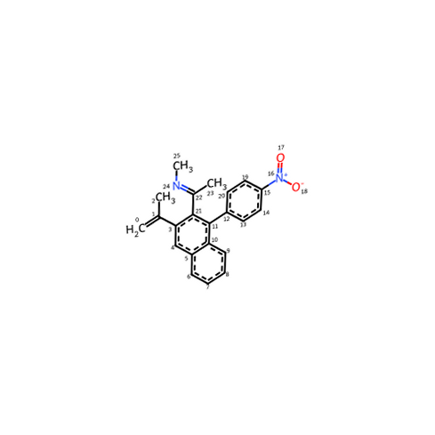 C=C(C)c1cc2ccccc2c(-c2ccc([N+](=O)[O-])cc2)c1/C(C)=N/C